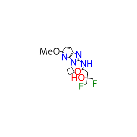 COc1ccc2nc(NC(=O)CC(O)(CF)CF)n(C3CCC3)c2n1